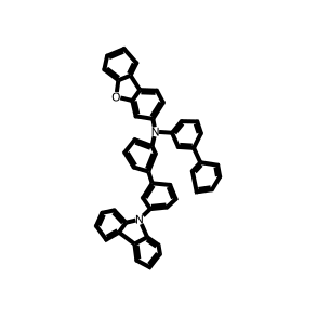 c1ccc(-c2cccc(N(c3cccc(-c4cccc(-n5c6ccccc6c6ccccc65)c4)c3)c3ccc4c(c3)oc3ccccc34)c2)cc1